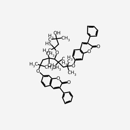 CC(C)(O)CC(C)(S)OC(C(C)(C)CC(C)(C)Oc1ccc2cc(-c3ccccc3)c(=O)oc2c1)C(C)(C)CC(C)(C)Oc1ccc2cc(-c3ccccc3)c(=O)oc2c1